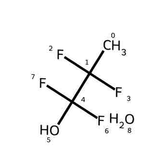 CC(F)(F)C(O)(F)F.O